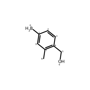 Bc1ccc(CO)c(C)c1